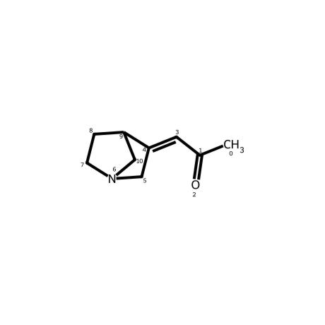 CC(=O)C=C1CN2CCC1C2